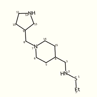 CCSNCC1CCN(CC2CCNC2)CC1